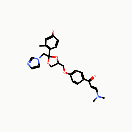 Cc1cc(Br)ccc1C1(Cn2ccnc2)OCC(COc2ccc(C(=O)/C=C/N(C)C)cc2)O1